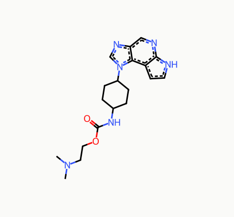 CN(C)CCOC(=O)NC1CCC(n2cnc3cnc4[nH]ccc4c32)CC1